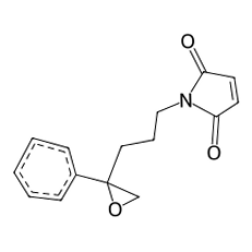 O=C1C=CC(=O)N1CCCC1(c2ccccc2)CO1